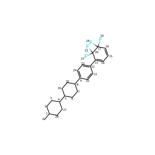 CC1CCC(C2CCC(c3ccc(C4=CC=CC(F)(F)C4(F)F)cc3)CC2)CC1